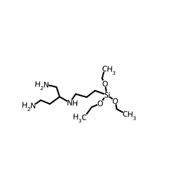 CCO[Si](CCCNC(CN)CCN)(OCC)OCC